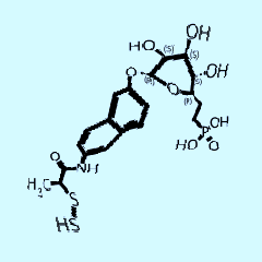 CC(SS)C(=O)Nc1ccc2cc(O[C@H]3O[C@H](CCP(=O)(O)O)[C@@H](O)[C@H](O)[C@@H]3O)ccc2c1